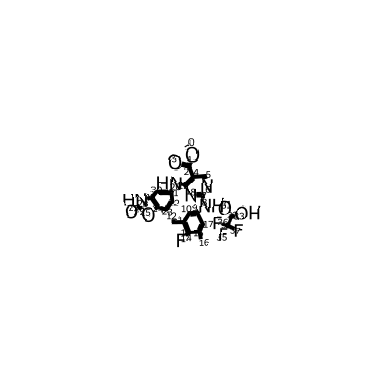 COC(=O)c1cnc(Nc2cc(C)c(F)c(C)c2)nc1Nc1ccc2oc(=O)[nH]c2c1.O=C(O)C(F)(F)F